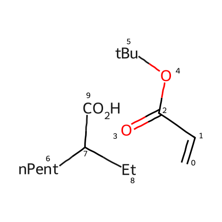 C=CC(=O)OC(C)(C)C.CCCCCC(CC)C(=O)O